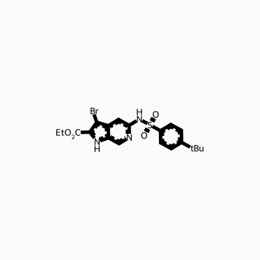 CCOC(=O)c1[nH]c2cnc(NS(=O)(=O)c3ccc(C(C)(C)C)cc3)cc2c1Br